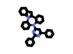 c1ccc(-c2cc(N3c4ccccc4-c4cc5ccccc5n4-c4ccccc43)nc(-c3ccccc3)n2)cc1